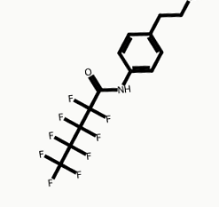 O=C(Nc1ccc(CCS)cc1)C(F)(F)C(F)(F)C(F)(F)C(F)(F)F